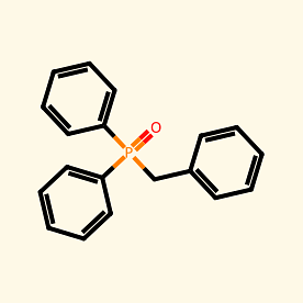 O=P(Cc1ccccc1)(c1ccccc1)c1ccccc1